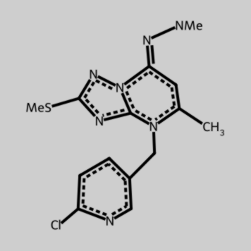 CN/N=c1\cc(C)n(Cc2ccc(Cl)nc2)c2nc(SC)nn12